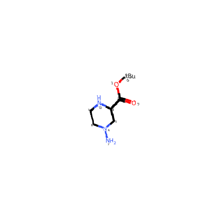 CC(C)(C)OC(=O)C1CN(N)CCN1